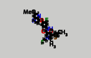 COc1cnc2c(Oc3ccc(NC(=O)c4cn(CCF)c(C)c(-c5cc(C)cs5)c4=O)cc3F)ccnc2c1